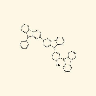 N#Cc1ccc(-n2c3ccccc3c3cc(-c4ccc5c6ccccc6n(-c6ccccc6)c5c4)ccc32)cc1-n1c2ccccc2c2ccccc21